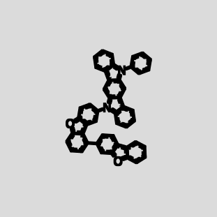 c1ccc(-n2c3ccccc3c3cc4c(cc32)c2ccccc2n4-c2ccc3oc4cccc(-c5ccc6c(c5)oc5ccccc56)c4c3c2)cc1